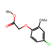 COc1cc(Cl)ccc1OCC(=O)OC(C)(C)C